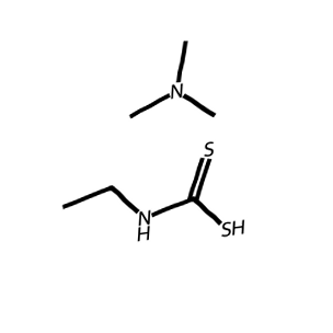 CCNC(=S)S.CN(C)C